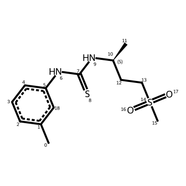 Cc1cccc(NC(=S)N[C@@H](C)CCS(C)(=O)=O)c1